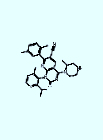 Cc1ccc(F)c(-c2nc3c(cc2C#N)c(N2CCNCC2C)nc(=O)n3-c2c(C)ccnc2C(C)C)c1